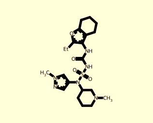 CCc1oc2c(c1NC(=O)NS(=O)(=O)N(c1cnn(C)c1)C1CCCN(C)C1)CCCC2